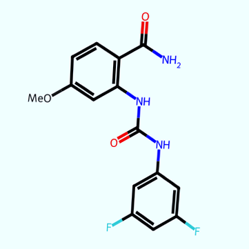 COc1ccc(C(N)=O)c(NC(=O)Nc2cc(F)cc(F)c2)c1